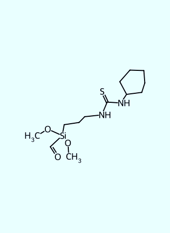 CO[Si](C=O)(CCCNC(=S)NC1CCCCC1)OC